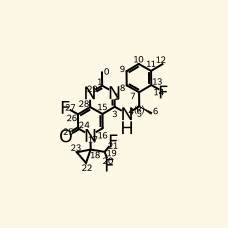 Cc1nc(N[C@H](C)c2cccc(C)c2F)c2cn(C3(C(F)F)CC3)c(=O)c(F)c2n1